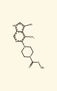 Cc1c(N2CCN(C(=O)OC(C)(C)C)CC2)ncc2[nH]cc(C(C)C)c12